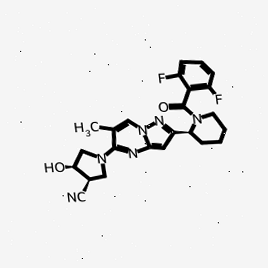 Cc1cn2nc([C@@H]3CCCCN3C(=O)c3c(F)cccc3F)cc2nc1N1C[C@@H](C#N)[C@@H](O)C1